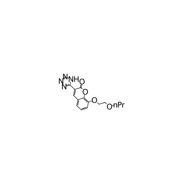 CCCOCCOc1cccc2cc(-c3nnn[nH]3)c(=O)oc12